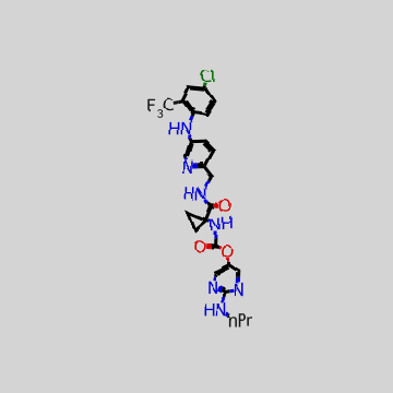 CCCNc1ncc(OC(=O)NC2(C(=O)NCc3ccc(Nc4ccc(Cl)cc4C(F)(F)F)cn3)CC2)cn1